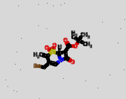 C=C1C(CBr)=CN2C(=O)C(C(=O)OC(C)(C)C)[C@H]2S1(=O)=O